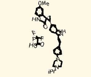 COc1ccc2c(c1)[C@]1(C[C@H]1c1ccc3c(C=Cc4ccc(N5CCN(C(C)C)CC5)cc4)n[nH]c3c1)C(=O)N2.O=C(O)C(F)(F)F